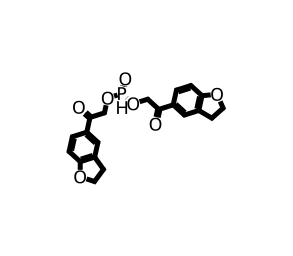 O=C(CO[PH](=O)OCC(=O)c1ccc2c(c1)CCO2)c1ccc2c(c1)CCO2